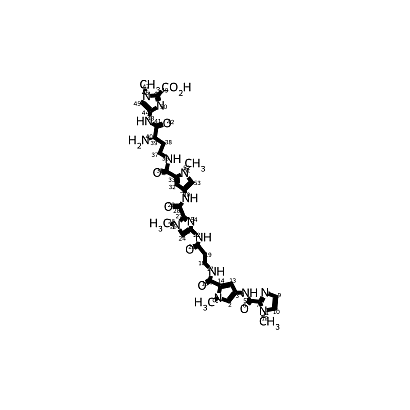 Cn1cc(NC(=O)c2nccn2C)cc1C(=O)NCCC(=O)Nc1cn(C)c(C(=O)Nc2cc(C(=O)NCC[C@@H](N)C(=O)Nc3cn(C)c(C(=O)O)n3)n(C)c2)n1